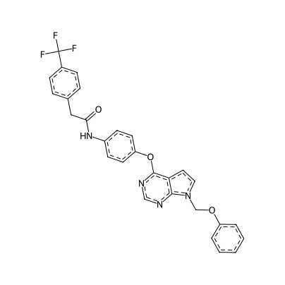 O=C(Cc1ccc(C(F)(F)F)cc1)Nc1ccc(Oc2ncnc3c2ccn3COc2ccccc2)cc1